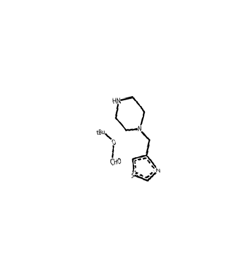 CC(C)(C)OC=O.c1nc(CN2CCNCC2)cs1